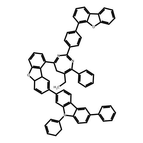 CCC1=C(c2ccccc2)N=C(c2ccc(-c3cccc4c3oc3ccccc34)cc2)N=C(c2cccc3c2C2C=C(c4ccc5c6cc(-c7ccccc7)ccc6n(C6=CC=CCC6)c5c4)C=CC2O3)C1